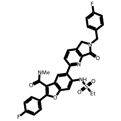 CCS(=O)(=O)Nc1cc2oc(-c3ccc(F)cc3)c(C(=O)NC)c2cc1-c1ccc2c(n1)C(=O)N(Cc1ccc(F)cc1)C2